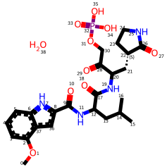 COc1cccc2[nH]c(C(=O)NC(CC(C)C)C(=O)NC(C[C@@H]3CCNC3=O)C(=O)COP(=O)(O)O)cc12.O